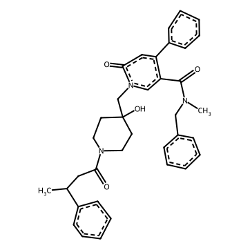 CC(CC(=O)N1CCC(O)(Cn2cc(C(=O)N(C)Cc3ccccc3)c(-c3ccccc3)cc2=O)CC1)c1ccccc1